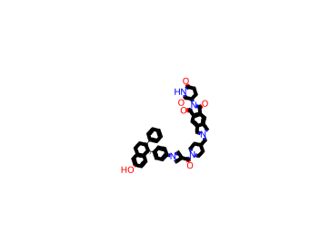 O=C1CCC(N2C(=O)c3cc4c(cc3C2=O)CN(CC2CCN(C(=O)C3CN(c5ccc([C@@H]6c7ccc(O)cc7CC[C@@H]6c6ccccc6)cc5)C3)CC2)C4)C(=O)N1